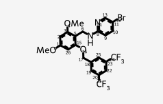 COc1cc(OC)c(CNc2ccc(Br)cn2)c(OCc2cc(C(F)(F)F)cc(C(F)(F)F)c2)c1